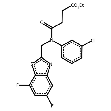 CCOC(=O)CCC(=O)N(Cc1nc2cc(F)cc(F)c2s1)c1cccc(Cl)c1